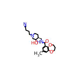 Cc1cc2c(c(C(=O)NC[C@@H]3CCN(CCCC#N)CC3O)c1)OCCCO2